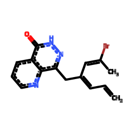 C=C/C=C(\C=C(/C)Br)Cc1n[nH]c(=O)c2cccnc12